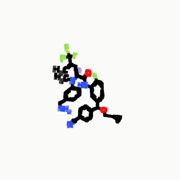 C=C(/C=C(/C(=O)Nc1cc(C(OCC2CC2)c2ccc(C#N)cc2)ccc1F)N(C)c1cccc(CN)c1)C(F)(F)F